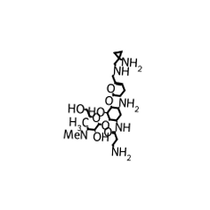 CN[C@@H](C)[C@@H](O)[C@H](OCCO)O[C@@H]1[C@@H](O)[C@H](O[C@@H]2CCC=C(CNCC3(N)CC3)O2)[C@@H](N)C[C@H]1NC(=O)CCN